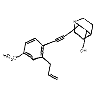 C=CCc1cc(C(=O)O)ccc1C#CC1C(O)C2CCN1CC2